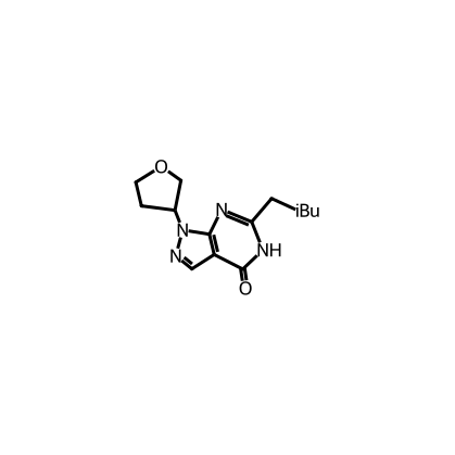 CCC(C)Cc1nc2c(cnn2C2CCOC2)c(=O)[nH]1